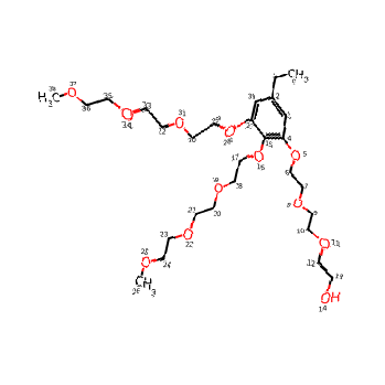 CCc1cc(OCCOCCOCCO)c(OCCOCCOCCOC)c(OCCOCCOCCOC)c1